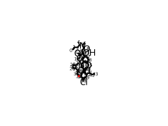 C=CC[C@@H](C)N(C)C(=O)C[C@@](O)(C(=O)OC)c1ccc2c(c1)N(CC1CCC1C(O)C=C)CC(c1ccc(Cl)cc1CCC)CO2